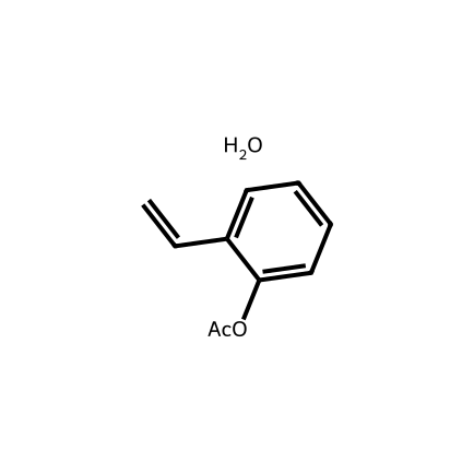 C=Cc1ccccc1OC(C)=O.O